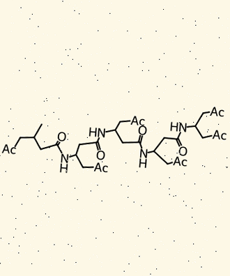 CC(=O)CC(C)CC(=O)NC(CC(C)=O)CC(=O)NC(CC(C)=O)CC(=O)NC(CC(C)=O)CC(=O)NC(CC(C)=O)CC(C)=O